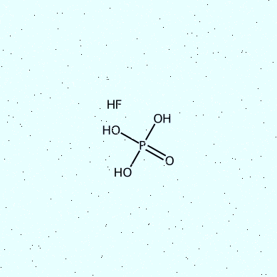 F.O=P(O)(O)O